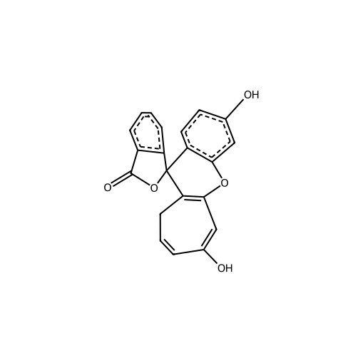 O=C1OC2(C3=C(C=C(O)C=CC3)Oc3cc(O)ccc32)c2ccccc21